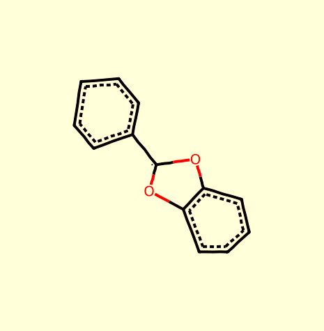 c1ccc([C]2Oc3ccccc3O2)cc1